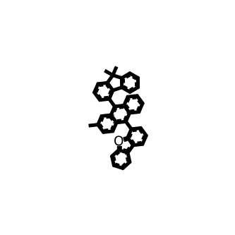 Cc1ccc2c(-c3cccc4c3oc3ccccc34)c3ccccc3c(-c3cccc4c3-c3ccccc3C4(C)C)c2c1